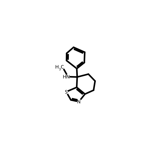 CNC1(c2ccccc2)CCCc2ncsc21